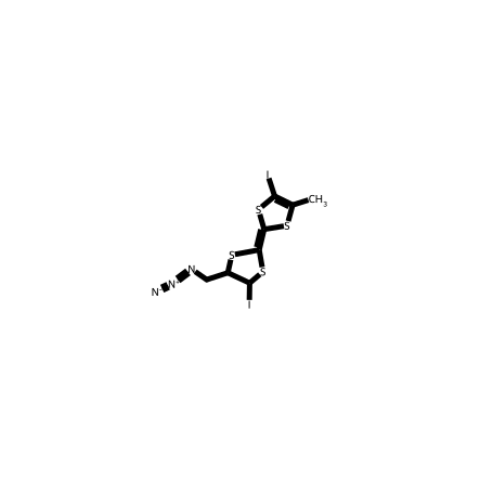 CC1=C(I)S/C(=C2/SC(I)C(CN=[N+]=[N-])S2)S1